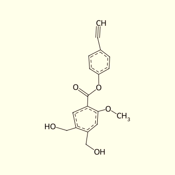 C#Cc1ccc(OC(=O)c2cc(CO)c(CO)cc2OC)cc1